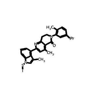 Cc1ccc(C(C)C)cc1N1CCc2nc(-c3cccc4c3c(C)cn4SI)cc(C)c2C1=O